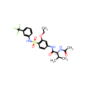 CCOc1cc(NC(=O)[C@@H](NC(C)=O)C(C)C)ccc1S(=O)(=O)Nc1cccc(C(F)(F)F)c1